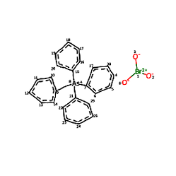 [O-][Br+2]([O-])[O-].c1ccc([As+](c2ccccc2)(c2ccccc2)c2ccccc2)cc1